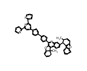 CC1C=Cc2oc3ccccc3c2C1c1ccc2c3c(c(-c4ccc(-c5ccc(-c6cc(-c7ccccn7)nc(-c7ccccn7)c6)cc5)cc4)nc2c1)OC1=CC=CCC13C